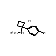 CCCCCNC1(c2ccc(Cl)cc2)CCC1.Cl